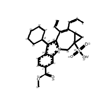 C=CC1=C(/C=C\C)C2CC2(S(=O)(=O)O)Cn2c1c(C1CCCCC1)c1ccc(C(=O)OC)cc12